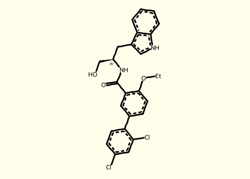 CCOc1ccc(-c2ccc(Cl)cc2Cl)cc1C(=O)N[C@@H](CO)Cc1c[nH]c2ccccc12